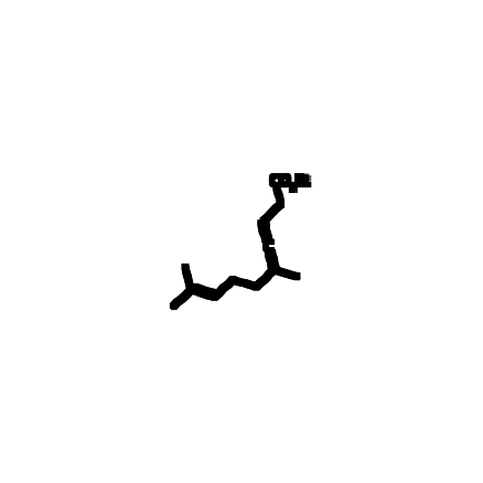 CCOC(=O)CC=C=C(C)CCC=C(C)C